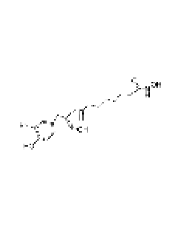 O=C(CCCCCCNCC(Cc1ccc(O)c(Br)c1)=NO)NO